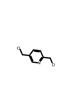 ClCc1ccc(CCl)nc1